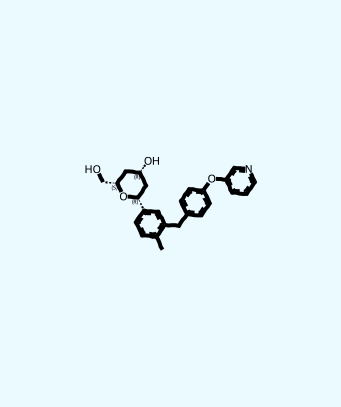 Cc1ccc([C@H]2C[C@@H](O)C[C@@H](CO)O2)cc1Cc1ccc(Oc2cccnc2)cc1